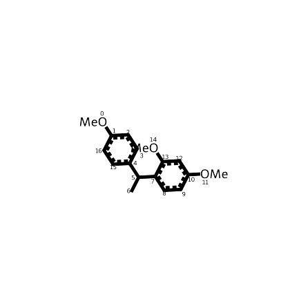 COc1ccc(C(C)c2ccc(OC)cc2OC)cc1